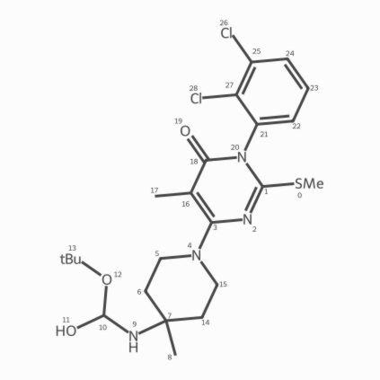 CSc1nc(N2CCC(C)(NC(O)OC(C)(C)C)CC2)c(C)c(=O)n1-c1cccc(Cl)c1Cl